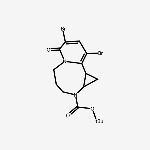 CC(C)(C)OC(=O)N1CCCn2c(c(Br)cc(Br)c2=O)C2CC21